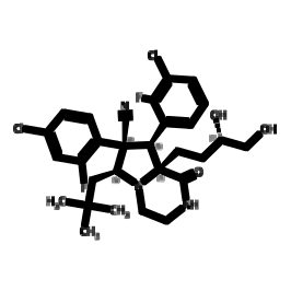 CC(C)(C)C[C@@H]1N2CCNC(=O)[C@@]2(CC[C@H](O)CO)[C@H](c2cccc(Cl)c2F)[C@@]1(C#N)c1ccc(Cl)cc1F